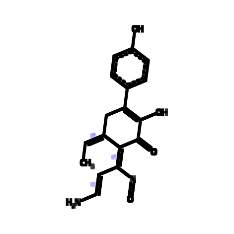 C/C=C1/CC(c2ccc(O)cc2)=C(O)C(=O)/C1=C(/C=C/N)N=O